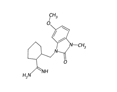 COc1ccc2c(c1)n(CC1CCCCC1C(=N)N)c(=O)n2C